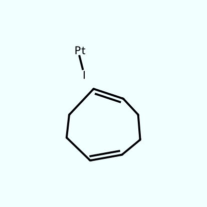 C1=CCCC=CCC1.[I][Pt]